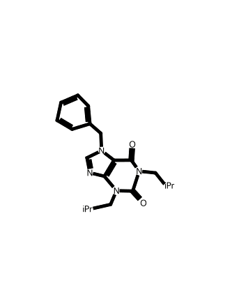 CC(C)Cn1c(=O)c2c(ncn2Cc2ccccc2)n(CC(C)C)c1=O